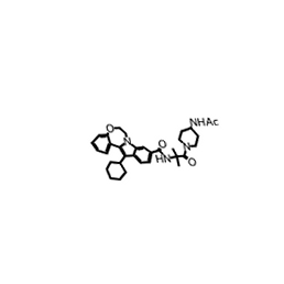 CC(=O)NC1CCN(C(=O)C(C)(C)NC(=O)c2ccc3c(C4CCCCC4)c4n(c3c2)CCOc2ccccc2-4)CC1